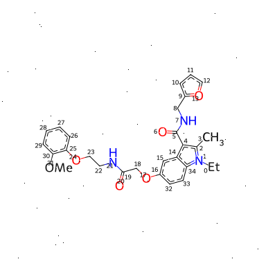 CCn1c(C)c(C(=O)NCc2ccco2)c2cc(OCC(=O)NCCOc3ccccc3OC)ccc21